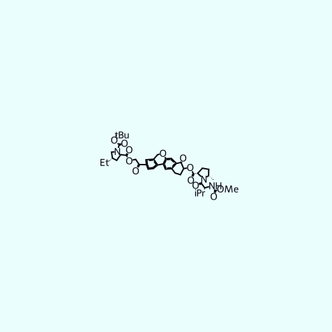 CC[C@H]1CC(C(=O)OCC(=O)c2ccc3c(c2)COc2cc4c(cc2-3)CCC(OC(=O)[C@@H]2CC[C@H](C)N2C(=O)[C@H](NC(=O)OC)C(C)C)C4=O)N(C(=O)OC(C)(C)C)C1